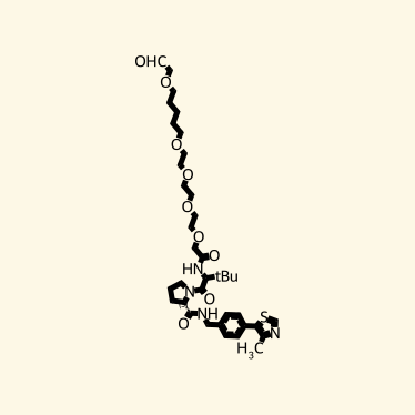 Cc1ncsc1-c1ccc(CNC(=O)[C@@H]2CCCN2C(=O)C(NC(=O)COCCOCCOCCOCCCCCOCC=O)C(C)(C)C)cc1